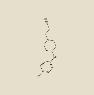 C#CCCN1CCC(Nc2ccc(Cl)cc2)CC1